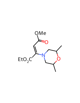 CCOC(=O)/C(=C/C(=O)OC)N1CC(C)OC(C)C1